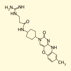 Cc1ccc2c(c1)Nc1nc(=O)n(C3CCC(NC(=O)CCNC(=N)N)CC3)cc1O2